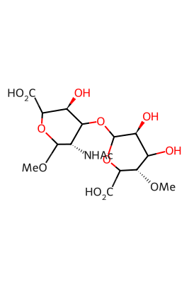 COC1OC(C(=O)O)[C@@H](O)C(OC2OC(C(=O)O)[C@@H](OC)C(O)[C@@H]2O)[C@@H]1NC(C)=O